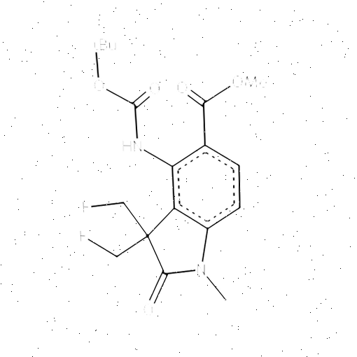 COC(=O)c1ccc2c(c1NC(=O)OC(C)(C)C)C(CF)(CF)C(=O)N2C